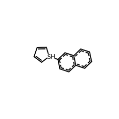 C1=C[SH](c2ccc3ccccc3c2)C=C1